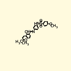 COc1ccc(S(=O)(=O)Nc2ccc(N=Cc3ccc4c(c3O)C=CC(C)(C)O4)cc2)cc1